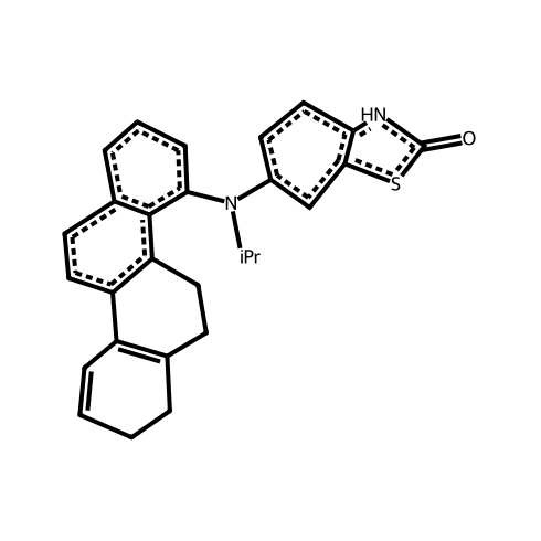 CC(C)N(c1ccc2[nH]c(=O)sc2c1)c1cccc2ccc3c(c12)CCC1=C3C=CCC1